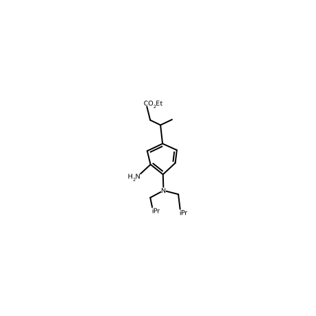 CCOC(=O)CC(C)c1ccc(N(CC(C)C)CC(C)C)c(N)c1